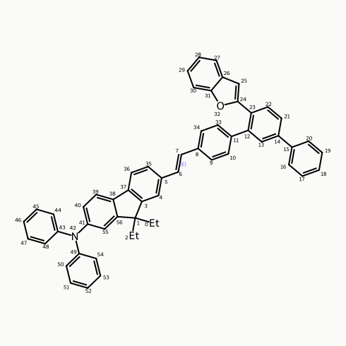 CCC1(CC)c2cc(/C=C/c3ccc(-c4cc(-c5ccccc5)ccc4-c4cc5ccccc5o4)cc3)ccc2-c2ccc(N(c3ccccc3)c3ccccc3)cc21